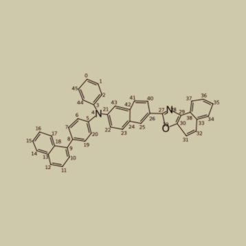 c1ccc(N(c2ccc(-c3cccc4ccccc34)cc2)c2ccc3cc(-c4nc5c(ccc6ccccc65)o4)ccc3c2)cc1